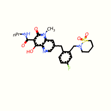 CCCNC(=O)c1c(O)c2ncc(Cc3ccc(F)cc3CN3CCCCS3(=O)=O)cc2n(C)c1=O